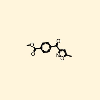 COC(=O)c1ccc(C(=O)c2cc(C)on2)cc1